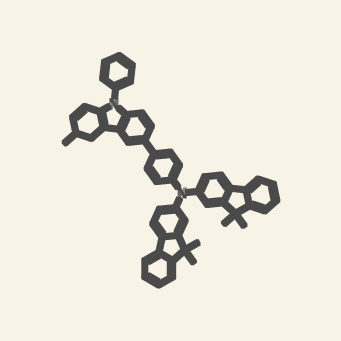 CC1C=Cc2c(c3cc(-c4ccc(N(c5ccc6c(c5)C(C)(C)c5ccccc5-6)c5ccc6c(c5)C(C)(C)c5ccccc5-6)cc4)ccc3n2-c2ccccc2)C1